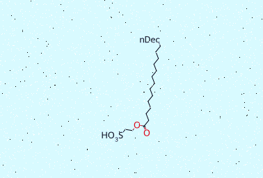 CCCCCCCCCCCCCCCCCCCCCCCC(=O)OCCS(=O)(=O)O